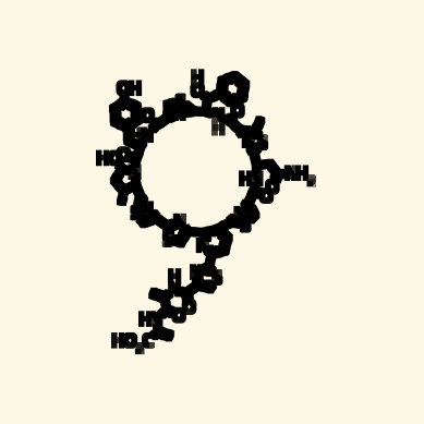 C=C(NC(=O)C(=C)NC(=O)c1csc(-c2ccc3c(n2)-c2csc(n2)-c2csc(n2)C2C(C)CC(O)N2C(=O)C(Cc2ccc(O)cc2)NC(=O)c2csc(n2)C(C(O)c2ccccc2)NC(=O)c2nc(sc2C)C(CC(N)=O)NC(=O)c2csc-3n2)n1)C(=O)O